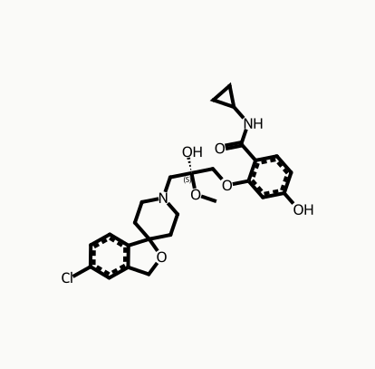 CO[C@](O)(COc1cc(O)ccc1C(=O)NC1CC1)CN1CCC2(CC1)OCc1cc(Cl)ccc12